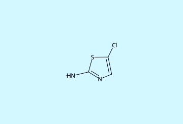 [NH]c1ncc(Cl)s1